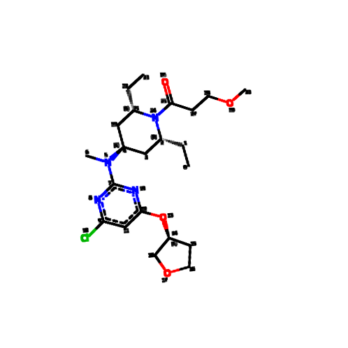 CC[C@@H]1C[C@@H](N(C)c2nc(Cl)cc(O[C@H]3CCOC3)n2)C[C@H](CC)N1C(=O)CCOC